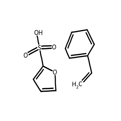 C=Cc1ccccc1.O=S(=O)(O)c1ccco1